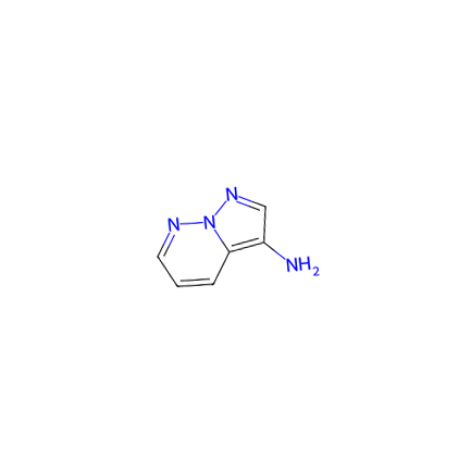 Nc1cnn2ncccc12